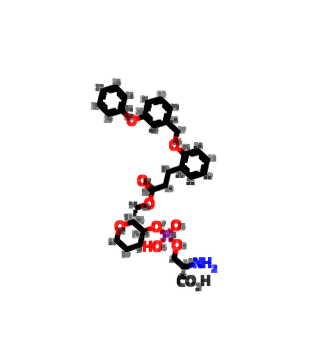 N[C@@H](COP(=O)(O)O[C@H]1CCCO[C@@H]1COC(=O)CCc1ccccc1OCc1cccc(Oc2ccccc2)c1)C(=O)O